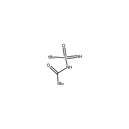 CC(C)(C)C(=O)NS(=N)(=O)C(C)(C)C